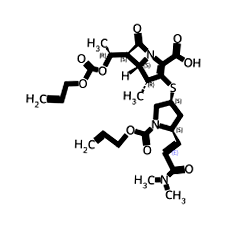 C=CCOC(=O)O[C@H](C)[C@H]1C(=O)N2C(C(=O)O)=C(S[C@H]3C[C@@H](/C=C/C(=O)N(C)C)N(C(=O)OCC=C)C3)[C@H](C)[C@H]12